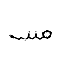 N#CCCOC(=O)CC(=O)Cc1ccccc1